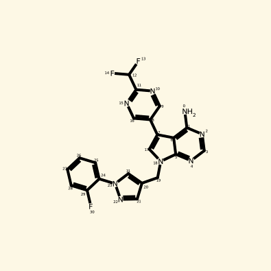 Nc1ncnc2c1c(-c1cnc(C(F)F)nc1)cn2Cc1cnn(-c2ccccc2F)c1